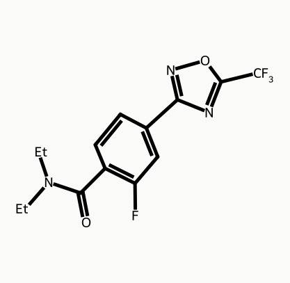 CCN(CC)C(=O)c1ccc(-c2noc(C(F)(F)F)n2)cc1F